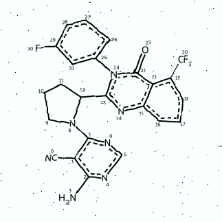 N#Cc1c(N)ncnc1N1CCCC1c1nc2cccc(C(F)(F)F)c2c(=O)n1-c1cccc(F)c1